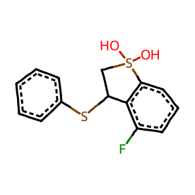 OS1(O)CC(Sc2ccccc2)c2c(F)cccc21